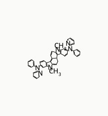 Cn1c2c(c3ccc(N(c4ccccc4)c4ccccn4)cc31)C1CC=c3c(c4ccc(N(c5ccccc5)c5ccccn5)cc4n3C)=C1C=C2